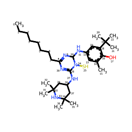 CCCCCCCCC1=NC(Nc2cc(C)c(O)c(C(C)(C)C)c2)N(S)C(NC2CC(C)(C)NC(C)(C)C2)=N1